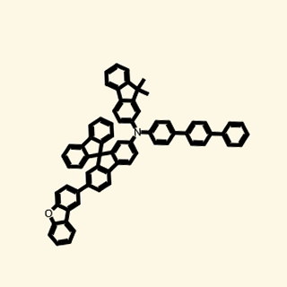 CC1(C)c2ccccc2-c2ccc(N(c3ccc(-c4ccc(-c5ccccc5)cc4)cc3)c3ccc4c(c3)C3(c5ccccc5-c5ccccc53)c3cc(-c5ccc6oc7ccccc7c6c5)ccc3-4)cc21